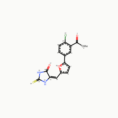 COC(=O)c1cc(-c2ccc(C=C3NC(=S)NC3=O)o2)ccc1Cl